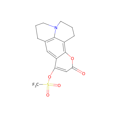 O=c1cc(OS(=O)(=O)C(F)(F)F)c2cc3c4c(c2o1)CCCN4CCC3